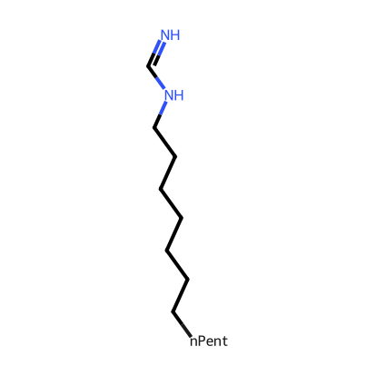 CCCCCCCCCCCCNC=N